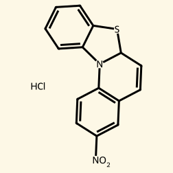 Cl.O=[N+]([O-])c1ccc2c(c1)C=CC1Sc3ccccc3N21